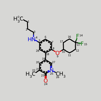 CCCCNc1ccc(OC2CCC(F)(F)CC2)c(-c2cc(C)c(=O)n(C)c2)c1